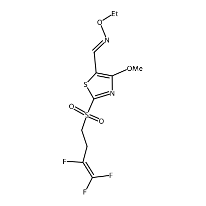 CCON=Cc1sc(S(=O)(=O)CCC(F)=C(F)F)nc1OC